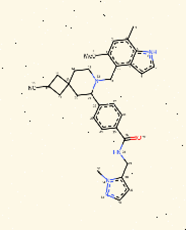 COc1cc(C)c2[nH]ccc2c1CN1CCC2(CC(C#N)C2)CC1c1ccc(C(=O)NCc2ccnn2C)cc1